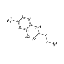 Cc1ccc(NC(=O)CCS)c(Cl)c1